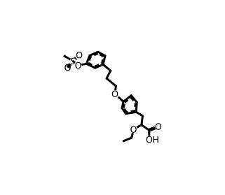 CCOC(Cc1ccc(OCCCc2cccc(OS(C)(=O)=O)c2)cc1)C(=O)O